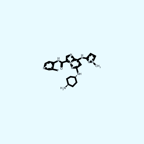 Cn1ccc(Nc2cc(N[C@H]3CC[C@H](N)CC3)nn3c(C(=O)Nc4ccncc4F)cnc23)n1